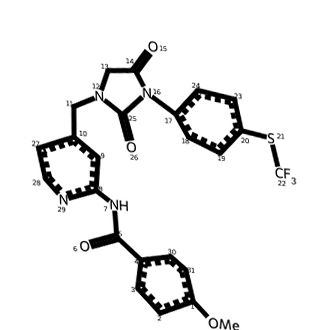 COc1ccc(C(=O)Nc2cc(CN3CC(=O)N(c4ccc(SC(F)(F)F)cc4)C3=O)ccn2)cc1